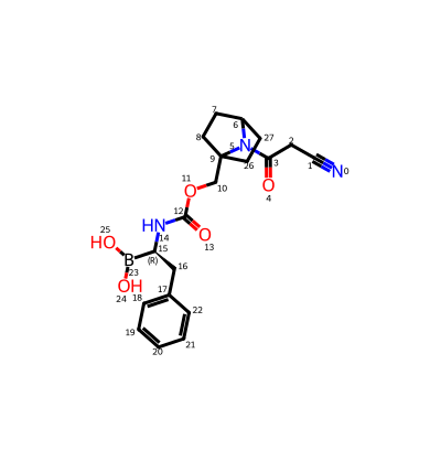 N#CCC(=O)N1C2CCC1(COC(=O)N[C@@H](Cc1ccccc1)B(O)O)CC2